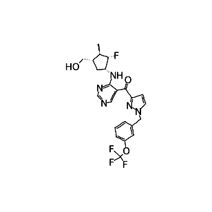 C[C@@H]1[C@@H](CO)C[C@@H](Nc2ncncc2C(=O)c2ccn(Cc3cccc(OC(F)(F)F)c3)n2)[C@H]1F